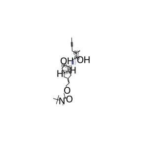 CC#CC[C@@H](C)[C@@H](O)/C=C/[C@@H]1[C@H]2CC(=CCOCC(=O)N(C)C(C)(C)C)C[C@H]2C[C@H]1O